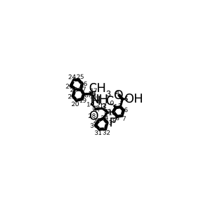 Cc1c(C(=O)O)ccc(F)c1[C@H]1C[C@H](CN[C@H](C)c2cccc3ccccc23)Oc2ccccc21